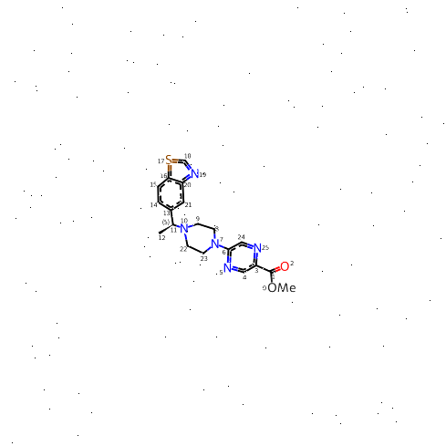 COC(=O)c1cnc(N2CCN([C@@H](C)c3ccc4scnc4c3)CC2)cn1